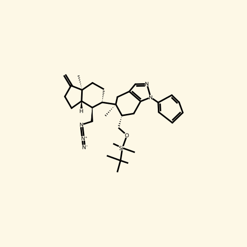 C=C1CC[C@H]2[C@H](CN=[N+]=[N-])[C@@H]([C@@]3(C)Cc4cnn(-c5ccccc5)c4C[C@@H]3CO[Si](C)(C)C(C)(C)C)CC[C@]12C